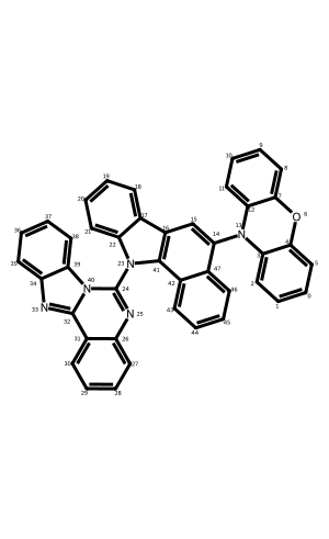 c1ccc2c(c1)Oc1ccccc1N2c1cc2c3ccccc3n(-c3nc4ccccc4c4nc5ccccc5n34)c2c2ccccc12